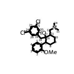 COc1ccccc1C1CCCC(CN(C)C)C1(O)Cc1cc(Cl)cc(Cl)c1